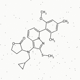 COc1cc(C)cc(C)c1-c1cccc2c(N(CC3CC3)C3CCOC3=O)c(SC)nn12